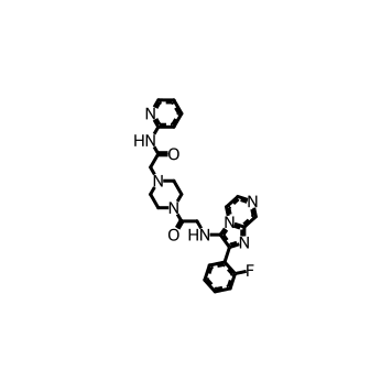 O=C(CN1CCN(C(=O)CNc2c(-c3ccccc3F)nc3cnccn23)CC1)Nc1ccccn1